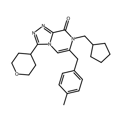 Cc1ccc(Cc2cn3c(C4CCOCC4)nnc3c(=O)n2CC2CCCC2)cc1